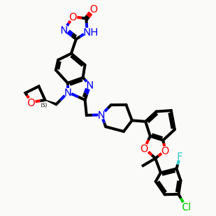 CC1(c2ccc(Cl)cc2F)Oc2cccc(C3CCN(Cc4nc5cc(-c6noc(=O)[nH]6)ccc5n4C[C@@H]4CCO4)CC3)c2O1